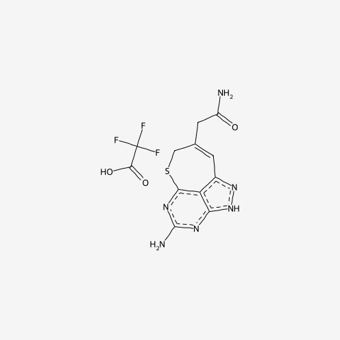 NC(=O)CC1=Cc2n[nH]c3nc(N)nc(c23)SC1.O=C(O)C(F)(F)F